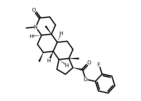 C[C@H]1C[C@H]2N(C)C(=O)CC[C@]2(C)[C@H]2CC[C@]3(C)[C@@H](C(=O)Oc4ccccc4F)CC[C@H]3[C@H]12